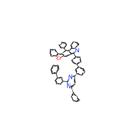 c1ccc(-c2cccc(-c3nc(-c4ccccc4)cc(-c4cccc(-c5ccc(-c6nc7ccccc7c7c(-c8ccccc8)c8c(cc67)oc6ccccc68)cc5)c4)n3)c2)cc1